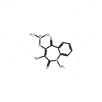 C[SiH](C)Oc1c(C(C)(C)C)c(=O)n(N)c2ccccc2c1=O